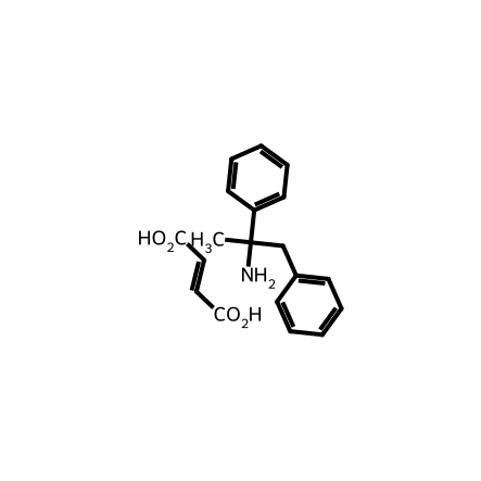 CC(N)(Cc1ccccc1)c1ccccc1.O=C(O)C=CC(=O)O